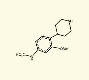 COc1cc(NC(=O)O)ccc1C1CCNCC1